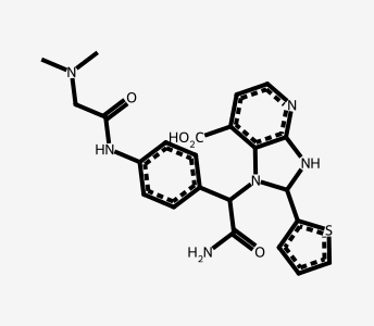 CN(C)CC(=O)Nc1ccc(C(C(N)=O)N2c3c(C(=O)O)ccnc3NC2c2cccs2)cc1